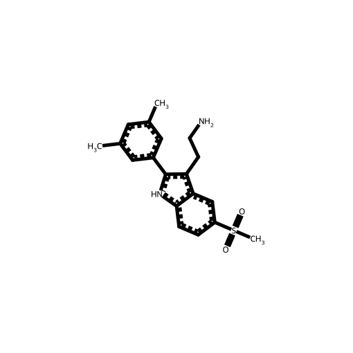 Cc1cc(C)cc(-c2[nH]c3ccc(S(C)(=O)=O)cc3c2CCN)c1